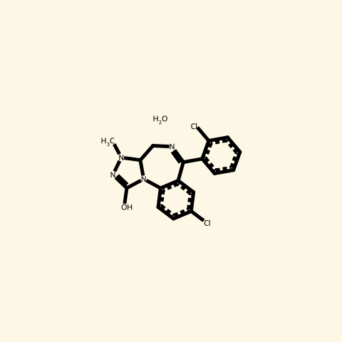 CN1N=C(O)N2c3ccc(Cl)cc3C(c3ccccc3Cl)=NCC12.O